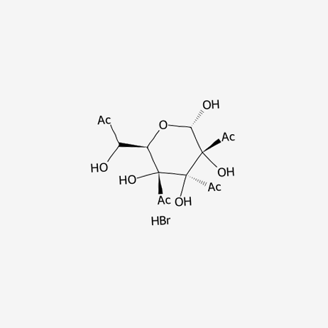 Br.CC(=O)C(O)[C@H]1O[C@H](O)[C@@](O)(C(C)=O)[C@](O)(C(C)=O)[C@@]1(O)C(C)=O